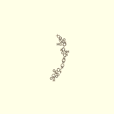 Cn1cc(-c2ccnc(N3CCn4c(cc5c4CC(C)(C)C5)C3=O)c2CO)cc(Nc2ccc(N3CCN(C4CCN(Cc5ccc6c(c5F)C(=O)N(C5CCC(=O)NC5=O)C6=O)CC4)CC3)cn2)c1=O